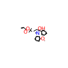 C=CC(=O)OC(C)(C)C.C=NC(O)(CC)c1ccccc1.COc1ccccc1